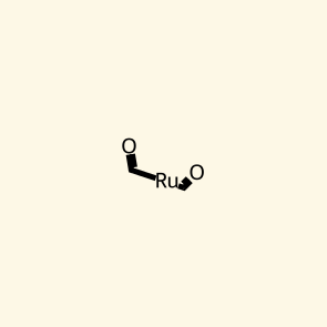 O=[CH][Ru][CH]=O